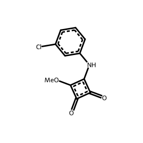 COc1c(Nc2cccc(Cl)c2)c(=O)c1=O